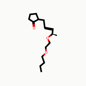 CCCCOCCO[C@H](C)C=CCC1CCCC1=O